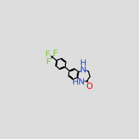 O=C1CCNc2cc(-c3ccc(C(F)(F)F)cc3)ccc2N1